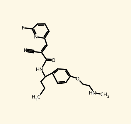 CCCC(NC(=O)/C(C#N)=C/c1cccc(F)n1)c1ccc(OCCNC)cc1